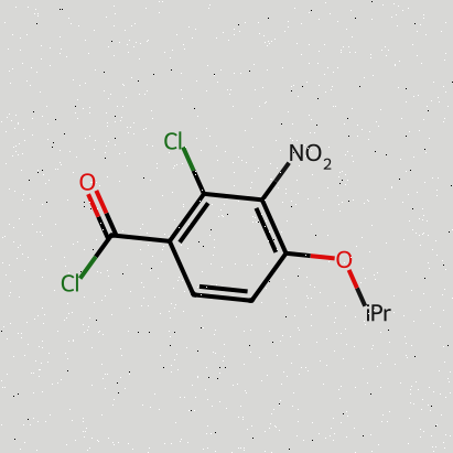 CC(C)Oc1ccc(C(=O)Cl)c(Cl)c1[N+](=O)[O-]